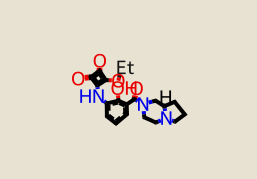 CCOc1c(Nc2cccc(C(=O)N3CCN4CCC[C@@H]4C3)c2O)c(=O)c1=O